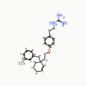 N=C(N)NCCc1ccc(OCCC2(Cc3cccc(Cl)c3)C=CCCC2)cc1